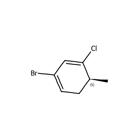 C[C@H]1CC=C(Br)C=C1Cl